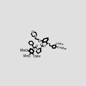 COc1ccc(CC[C@@H](OC(=O)[C@@H]2CCCN2C(=O)[C@H](c2cc(OC)c(OC)c(OC)c2)C2CCCCC2)c2cccc(OCCN3CCOCC3)c2)cc1OC